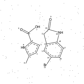 Cc1ccc(C(=O)O)[nH]1.O=C1Cc2cc(Br)ccc2N1